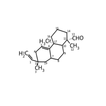 C=C[C@]1(C)CC=C2C(CCC3[C@@](C)(C=O)CCC[C@]23C)C1